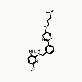 COc1ccc(N)c(NCc2cccc(-c3ncc(OCCCN(C)C)cn3)c2)n1